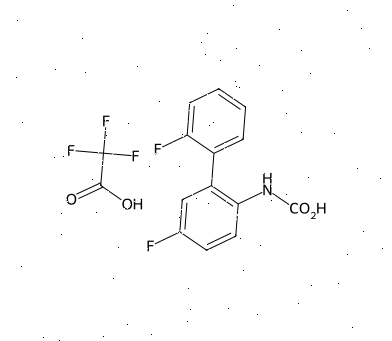 O=C(O)C(F)(F)F.O=C(O)Nc1ccc(F)cc1-c1ccccc1F